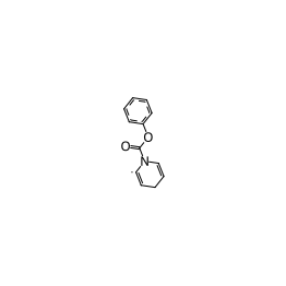 O=C(Oc1ccccc1)N1[C]=CCC=C1